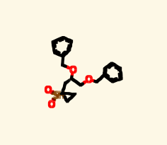 O=[SH](=O)C1(C[C@H](COCc2ccccc2)OCc2ccccc2)CC1